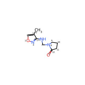 Cc1conc1NCN1CCCC1=O